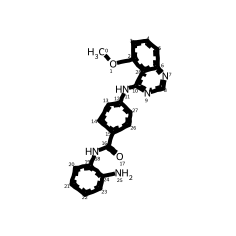 COc1cccc2ncnc(Nc3ccc(C(=O)Nc4ccccc4N)cc3)c12